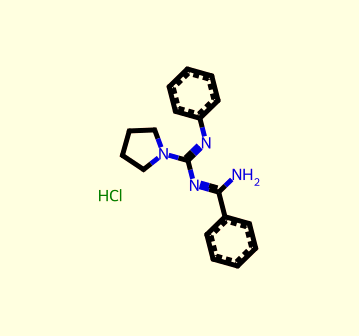 Cl.N/C(=N\C(=N\c1ccccc1)N1CCCC1)c1ccccc1